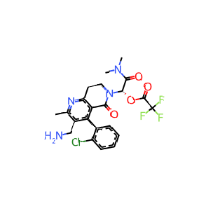 Cc1nc2c(c(-c3ccccc3Cl)c1CN)C(=O)N([C@@H](OC(=O)C(F)(F)F)C(=O)N(C)C)CC2